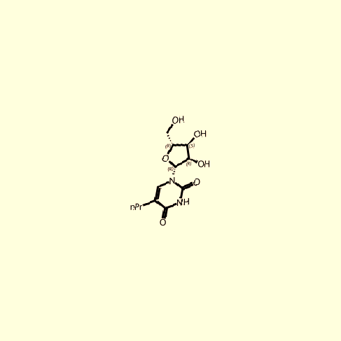 CCCc1cn([C@@H]2O[C@H](CO)[C@@H](O)[C@H]2O)c(=O)[nH]c1=O